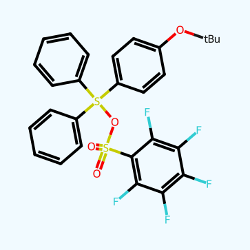 CC(C)(C)Oc1ccc(S(OS(=O)(=O)c2c(F)c(F)c(F)c(F)c2F)(c2ccccc2)c2ccccc2)cc1